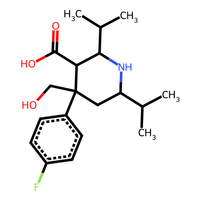 CC(C)C1CC(CO)(c2ccc(F)cc2)C(C(=O)O)C(C(C)C)N1